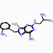 CC(N)CNc1nc(N)c2nc(Cc3ccccc3N)n(C)c2n1